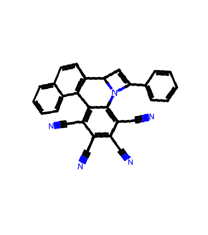 N#Cc1c(C#N)c(C#N)c2c(c1C#N)-c1c(ccc3ccccc13)C1C=C(c3ccccc3)N21